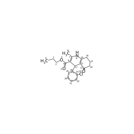 CCCOC(=O)C1=C(C)NC2=C(C(=O)CCC2)C1c1ccccc1Cl